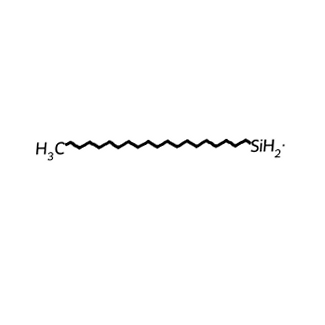 CCCCCCCCCCCCCCCCCCCC[SiH2]